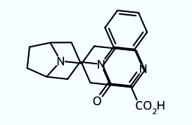 O=C(O)c1nc2ccccc2n(C2CC3CCC(C2)N3C2CC3CCCC(C3)C2)c1=O